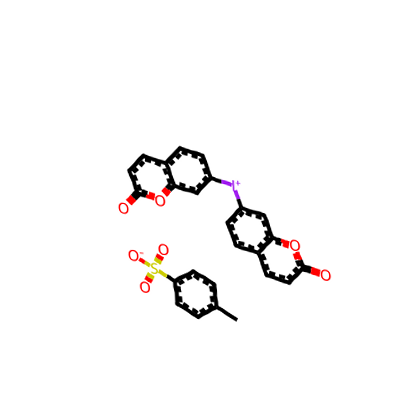 Cc1ccc(S(=O)(=O)[O-])cc1.O=c1ccc2ccc([I+]c3ccc4ccc(=O)oc4c3)cc2o1